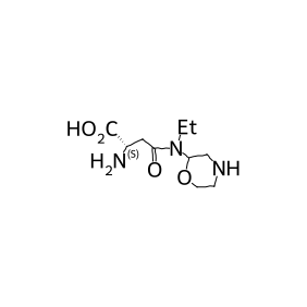 CCN(C(=O)C[C@H](N)C(=O)O)C1CNCCO1